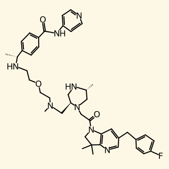 C[C@@H]1CN(CC(=O)N2CC(C)(C)c3ncc(Cc4ccc(F)cc4)cc32)[C@@H](CN(C)CCOCCN[C@H](C)c2ccc(C(=O)Nc3ccncc3)cc2)CN1